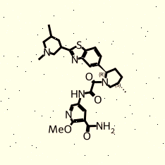 COc1ncc(NC(=O)C(=O)N2C[C@@H](C)CC[C@@H]2c2ccc3sc(C4CC(C)CN(C)C4)nc3c2)cc1C(N)=O